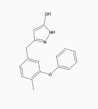 Cc1ccc(Cc2cc(O)[nH]n2)cc1Oc1ccccc1